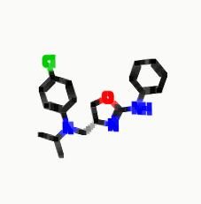 CC(C)N(C[C@@H]1COC(Nc2ccccc2)=N1)c1ccc(Cl)cc1